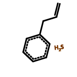 C=CCc1ccccc1.S